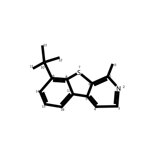 Cc1nccc2c1sc1c(C(C)(C)C)cccc12